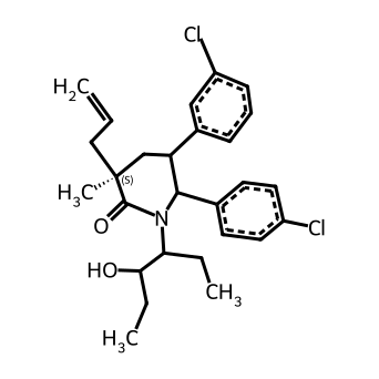 C=CC[C@@]1(C)CC(c2cccc(Cl)c2)C(c2ccc(Cl)cc2)N(C(CC)C(O)CC)C1=O